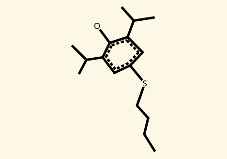 CCCCSc1cc(C(C)C)c([O])c(C(C)C)c1